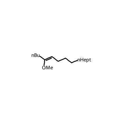 CCCCCCCCCCC=C(CCCC)OC